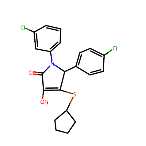 O=C1C(O)=C(SC2CCCC2)C(c2ccc(Cl)cc2)N1c1cccc(Cl)c1